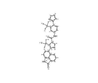 O=C(Nc1cnc(-n2ncnn2)c(C(F)(F)F)c1)c1cnn(-c2ccc3c4c(cccc24)C(=O)N3)c1C(F)(F)F